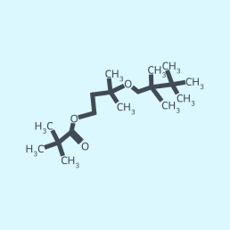 CC(C)(CCOC(=O)C(C)(C)C)OCC(C)(C)C(C)(C)C